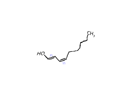 CCCCC/C=C\C=C\O